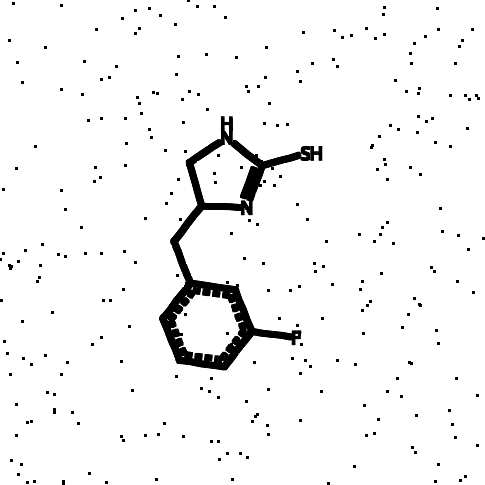 Fc1cccc(CC2CNC(S)=N2)c1